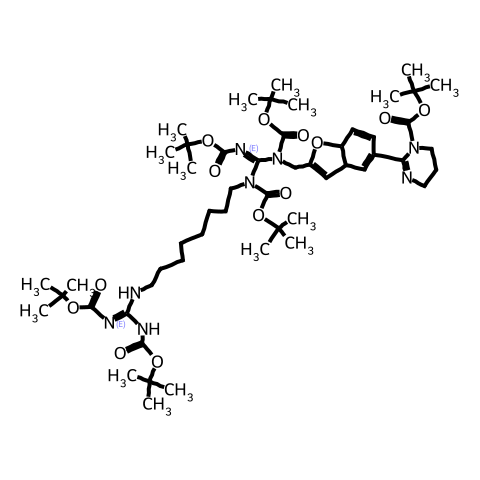 CC(C)(C)OC(=O)/N=C(\NCCCCCCCCN(C(=O)OC(C)(C)C)/C(=N\C(=O)OC(C)(C)C)N(CC1=CC2C=C(C3=NCCCN3C(=O)OC(C)(C)C)C=CC2O1)C(=O)OC(C)(C)C)NC(=O)OC(C)(C)C